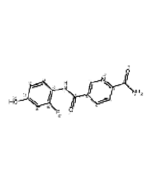 NC(=O)c1ccc(C(=O)Nc2ccc(O)cc2F)cn1